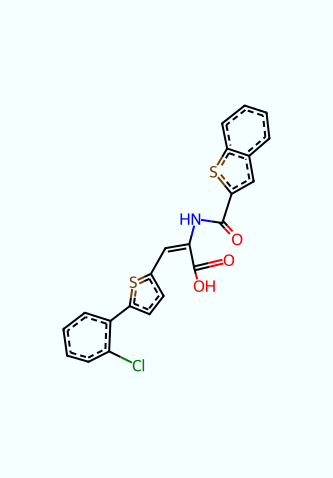 O=C(O)C(=Cc1ccc(-c2ccccc2Cl)s1)NC(=O)c1cc2ccccc2s1